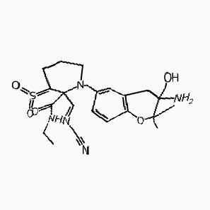 CCNC(=O)C1(C=NC#N)C(=S(=O)=O)CCCN1c1ccc2c(c1)CC(N)(O)C(C)(C)O2